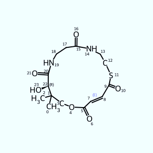 CC1(C)COC(=O)/C=C/C(=O)SCCNC(=O)CCNC(=O)[C@@H]1O